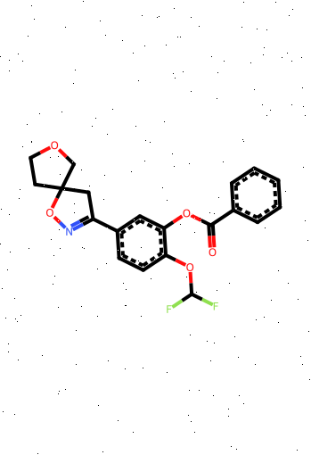 O=C(Oc1cc(C2=NOC3(CCOC3)C2)ccc1OC(F)F)c1ccccc1